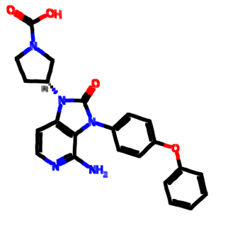 Nc1nccc2c1n(-c1ccc(Oc3ccccc3)cc1)c(=O)n2[C@@H]1CCN(C(=O)O)C1